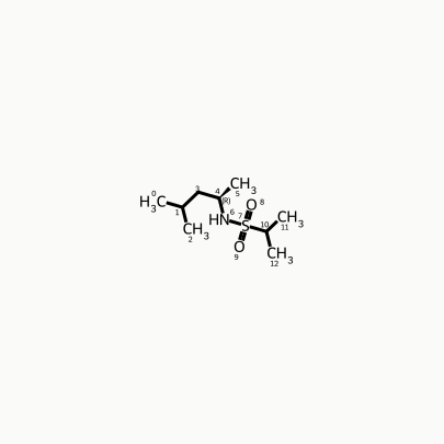 CC(C)C[C@@H](C)NS(=O)(=O)C(C)C